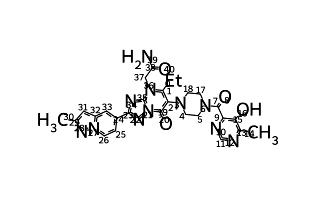 CCc1c(N2CCN(C(=O)c3ncnc(C)c3O)CC2)c(=O)n2nc(-c3ccn4nc(C)cc4c3)nc2n1CC(N)=O